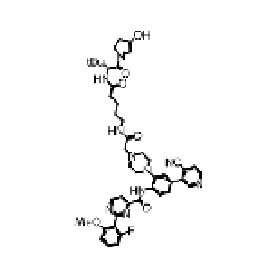 COc1cccc(F)c1-c1nccc(C(=O)Nc2ccc(-c3cnccc3C#N)cc2N2CCN(CC(=O)NCCCCC(=O)N[C@H](C(=O)N3CC[C@@H](O)C3)C(C)(C)C)CC2)n1